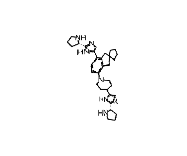 c1nc([C@@H]2CCCN2)[nH]c1-c1ccc(N2CCC(c3cnc([C@@H]4CCCN4)[nH]3)CC2)c2c1CC1(CCCC1)C2